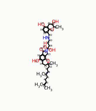 CC(C)=CCC/C(C)=C/CC[C@@]1(C)CCc2c(O)cc3c(c2O1)CN(C(O)(O)CCCNCc1ccc(O)c2c1OC(C)[C@@H](O)C2)C3=O